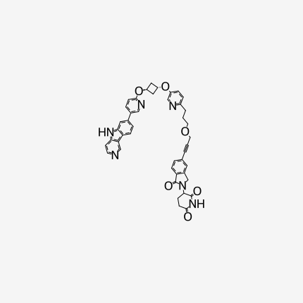 O=C1CCC(N2Cc3cc(C#CCOCCCc4ccc(O[C@H]5C[C@H](Oc6ccc(-c7ccc8c(c7)[nH]c7ccncc78)cn6)C5)cn4)ccc3C2=O)C(=O)N1